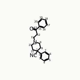 N#CC1(c2ccccc2)CCN(CCC(=O)c2ccccc2)CC1